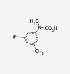 Cc1cc(C(C)C)cc(N(C)C(=O)O)c1